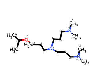 CC(C)O[SiH2]CCN(CCCN(C)C)CCCN(C)C